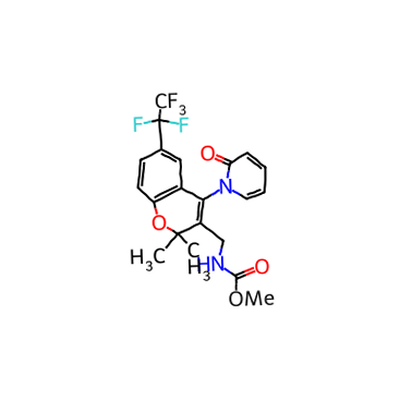 COC(=O)NCC1=C(n2ccccc2=O)c2cc(C(F)(F)C(F)(F)F)ccc2OC1(C)C